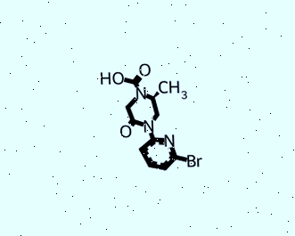 C[C@H]1CN(c2cccc(Br)n2)C(=O)CN1C(=O)O